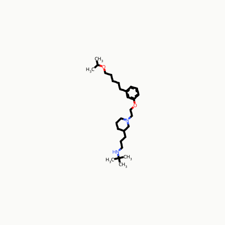 CC(C)OCCCCCc1cccc(OCCN2CCCC(CCCNC(C)(C)C)C2)c1